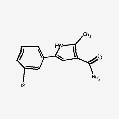 Cc1[nH]c(-c2cccc(Br)c2)cc1C(N)=O